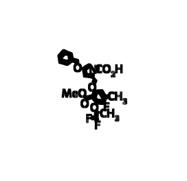 COC(=O)c1c(OC[C@H]2C[C@H](OCc3ccccc3)CN2C(=O)O)cc(C)c(F)c1O[C@H](C)C(F)F